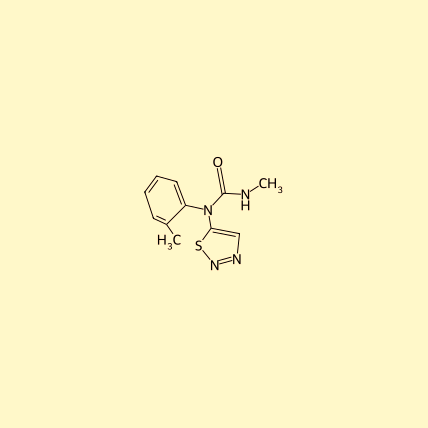 CNC(=O)N(c1cnns1)c1ccccc1C